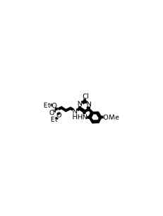 CCOP(=O)(CCCNc1nc(Cl)nc2c1[nH]c1ccc(OC)cc12)OCC